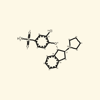 NS(=O)(=O)c1ccc(O[C@H]2c3ccccc3C[C@@H]2N2CCCC2)c(Cl)c1